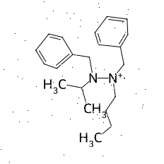 CCCC[N+](Cc1ccccc1)N(Cc1ccccc1)C(C)C